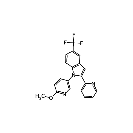 COc1ccc(-n2c(-c3ccccn3)cc3cc(C(F)(F)F)ccc32)cn1